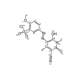 COc1ccc(N=Nc2c(C)c(C#N)c(=O)n(C)c2O)cc1S(=O)(=O)Cl